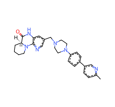 Cc1ccc(-c2ccc(N3CCN(Cc4cnc5c(c4)NC(=O)[C@@H]4CCCCN54)CC3)cc2)cn1